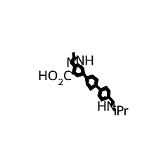 Cc1nc2c(C(=O)O)cc(-c3ccc(-c4ccc(CNC(C)C)cc4)cc3)cc2[nH]1